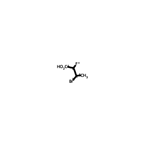 CC(Br)C(F)C(=O)O